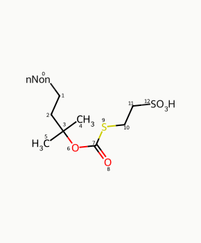 CCCCCCCCCCCC(C)(C)OC(=O)SCCS(=O)(=O)O